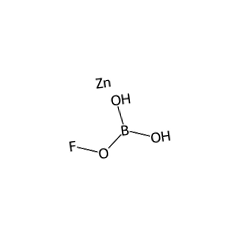 OB(O)OF.[Zn]